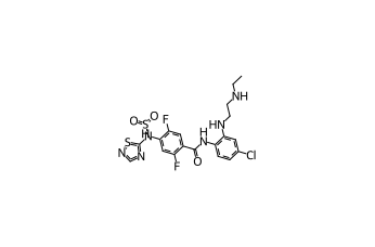 CCNCCNc1cc(Cl)ccc1NC(=O)c1cc(F)c(N(c2ncns2)[SH](=O)=O)cc1F